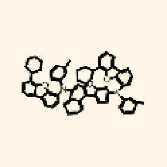 Cc1cccc(N(c2ccc3c(c2)oc2cc(N(c4cccc(C)c4)c4cccc5c4oc4c(C6CCCCC6)cccc45)c4ccccc4c23)c2cccc3c2oc2c(C4CCCCC4)cccc23)c1